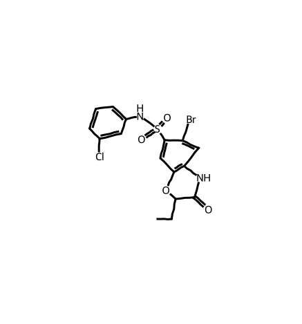 CCC1Oc2cc(S(=O)(=O)Nc3cccc(Cl)c3)c(Br)cc2NC1=O